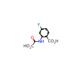 O=C(O)C(=O)Nc1cc(F)ccc1C(=O)O